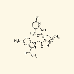 CC(=O)c1nn(CC(=O)N2[C@H](C(=O)Nc3nc(Br)ccc3C)C[C@@]3(C)C[C@@H]23)c2ccc(N)cc12